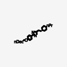 CCCCCCCCCCCOc1ccc(-c2ncc(CC[C@H]3CC[C@H](CCC)CC3)cn2)cc1